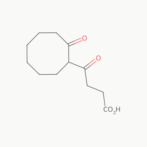 O=C(O)CCC(=O)C1CCCCCCC1=O